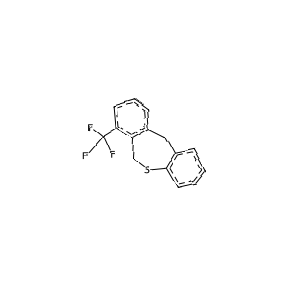 FC(F)(F)c1cccc2c1CSc1ccccc1C2